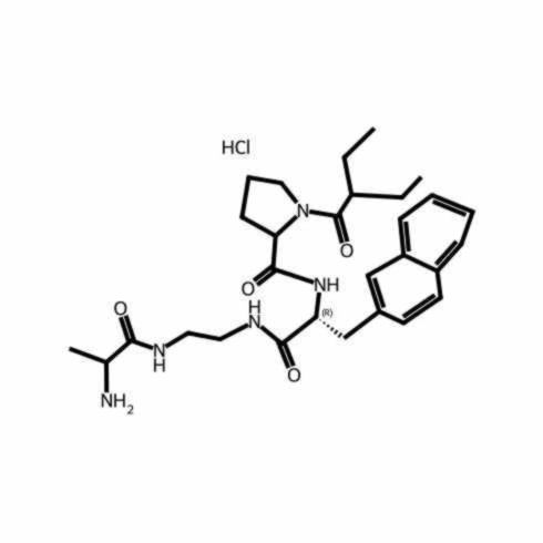 CCC(CC)C(=O)N1CCCC1C(=O)N[C@H](Cc1ccc2ccccc2c1)C(=O)NCCNC(=O)C(C)N.Cl